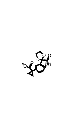 COC(=O)C1(c2ccc3c(c2)C2(OCCO2)C(=O)N3)CC1